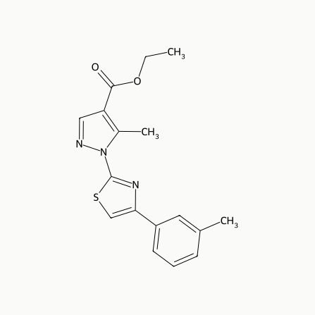 CCOC(=O)c1cnn(-c2nc(-c3cccc(C)c3)cs2)c1C